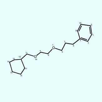 [c]1ccc(CCCOCCOCC2CCCCC2)cc1